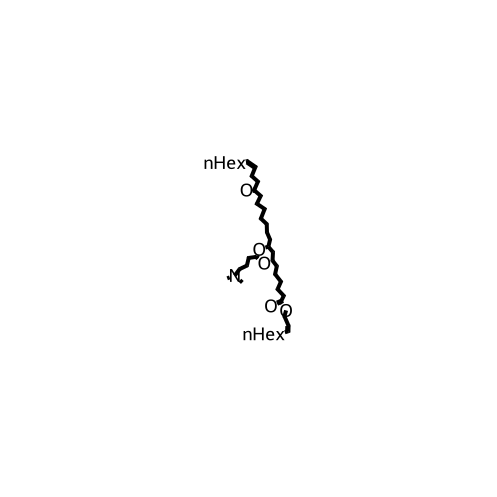 CCCCCC/C=C\CCC(=O)CCCCCCCC(CCCCCCCC(=O)OC/C=C\CCCCCC)OC(=O)CCCN(C)C